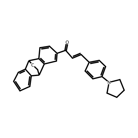 O=C(C=Cc1ccc(N2CCCC2)cc1)c1ccc2c(c1)C1CCC2c2ccccc21